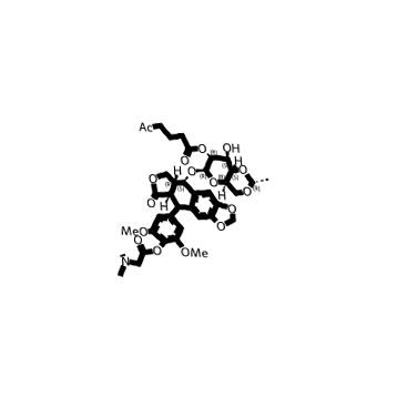 COc1cc(C2c3cc4c(cc3[C@@H](O[C@@H]3O[C@@H]5CO[C@@H](C)O[C@H]5[C@H](O)[C@H]3OC(=O)CCCC(C)=O)[C@H]3COC(=O)[C@H]23)OCO4)cc(OC)c1OC(=O)CN(C)C